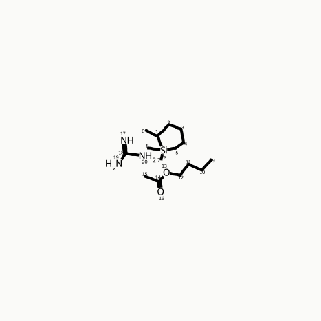 CC1CCCC[Si]1(C)C.CCCCOC(C)=O.N=C(N)N